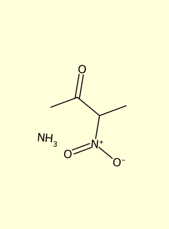 CC(=O)C(C)[N+](=O)[O-].N